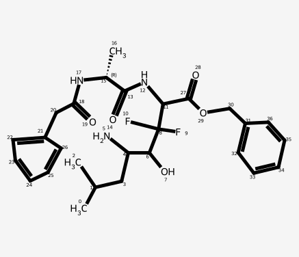 CC(C)CC(N)C(O)C(F)(F)C(NC(=O)[C@@H](C)NC(=O)Cc1ccccc1)C(=O)OCc1ccccc1